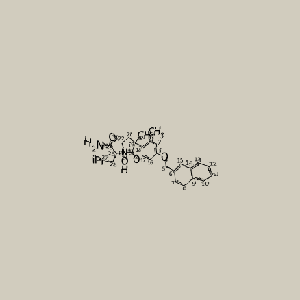 Cc1cc(OCc2ccc3ccccc3c2)ccc1C1(C)CC[N@@+](O)(C(CC(C)C)C(N)=O)C1=O